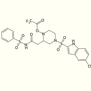 O=C(CC1CN(S(=O)(=O)c2cc3cc(Cl)ccc3[nH]2)CCN1OC(=O)C(F)(F)F)NS(=O)(=O)c1ccccc1